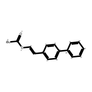 CCC(C)C(=O)O/C=C/c1ccc(-c2ccccc2)cc1